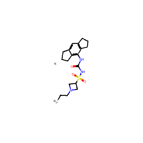 CCCN1CC(S(=O)(=O)NC(=O)Nc2c3c(cc4c2CCC4)CCC3)C1.[K]